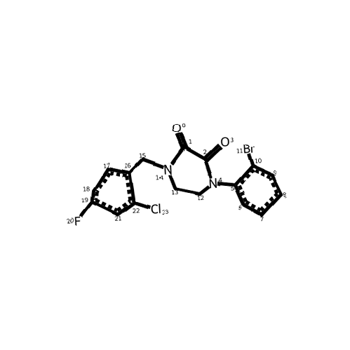 O=C1C(=O)N(c2ccccc2Br)CCN1Cc1ccc(F)cc1Cl